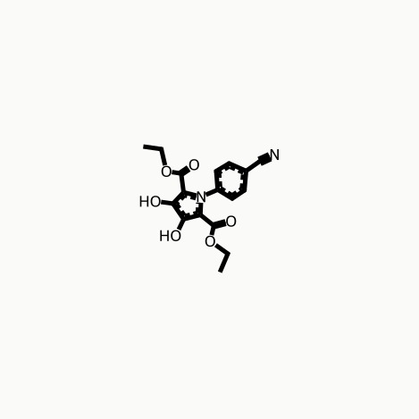 CCOC(=O)c1c(O)c(O)c(C(=O)OCC)n1-c1ccc(C#N)cc1